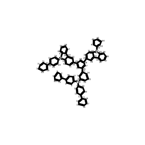 c1ccc(-c2ccc(N(c3ccc(-c4ccccc4)cc3)c3cccc(-c4cc(-c5ccc6c(c5)c5ccccc5n6-c5ccccc5)cc(-c5ccc6c(c5)c5ccccc5n6-c5ccc(-c6ccccc6)cc5)c4)c3)cc2)cc1